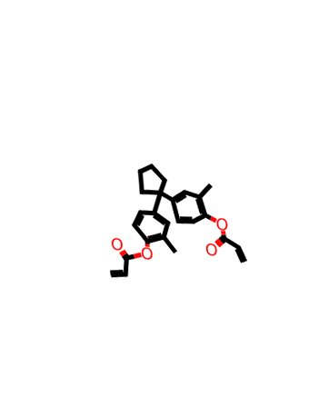 C=CC(=O)Oc1ccc(C2(c3ccc(OC(=O)C=C)c(C)c3)CCCC2)cc1C